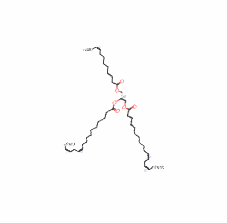 CCCC/C=C\CCCCCCCC(=O)OC[C@H](COC(=O)CCCCCCCCC/C=C\C/C=C\CCCCC)OC(=O)CCCCCCCCC/C=C\C/C=C\CCCCC